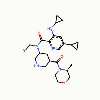 CC(C)CN(C(=O)c1ncc(C2CC2)cc1NC1CC1)[C@@H]1CNC[C@H](C(=O)N2CCOC[C@@H]2C)C1